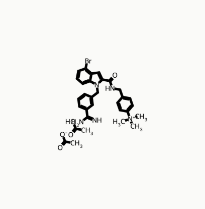 CC(=O)O.CC(=O)[O-].C[N+](C)(C)c1ccc(CNC(=O)c2cc3c(Br)cccc3n2Cc2cccc(C(=N)N)c2)cc1